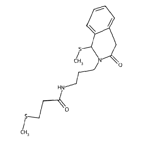 CSCCC(=O)NCCCN1C(=O)Cc2ccccc2C1SC